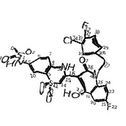 CS(=O)(=O)Nc1ccc2c(c1)S(=O)(=O)C=C(c1c(O)c3cc(F)ccc3n(Cc3ccc(F)c(Cl)c3)c1=O)N2